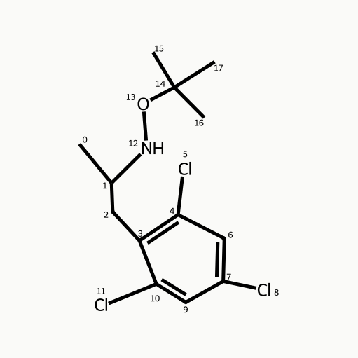 CC(Cc1c(Cl)cc(Cl)cc1Cl)NOC(C)(C)C